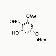 CCCCCCOc1cc(O)c(C=O)c(OC)c1